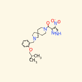 CC(C)COc1ccccc1CN1CCC2(CCN(C(=O)c3n[nH]cc3[N+](=O)[O-])CC2)C1